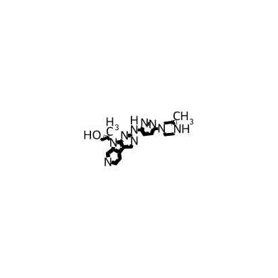 C[C@H](CO)n1c2cnccc2c2cnc(Nc3ccc(N4CCN[C@@H](C)C4)nn3)nc21